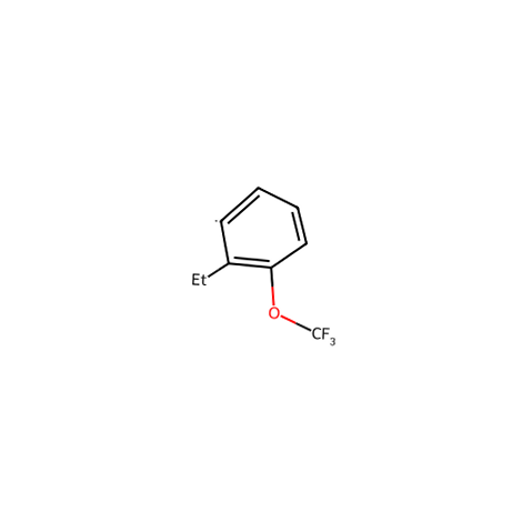 CCc1[c]cccc1OC(F)(F)F